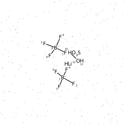 F[B-](F)(F)F.F[B-](F)(F)F.O=S(=O)(O)O.[LiH]